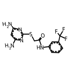 Nc1cc(N)nc(SCC(=O)Nc2cccc(C(F)(F)F)c2)n1